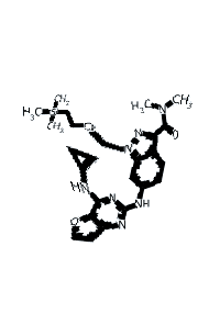 CN(C)C(=O)c1nn(COCC[Si](C)(C)C)c2cc(Nc3nc(NC4CC4)c4occc4n3)ccc12